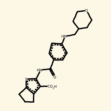 O=C(Nc1sc2c(c1C(=O)O)CCC2)c1ccc(NCC2CCOCC2)cc1